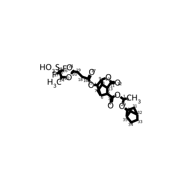 CC(OC(=O)C1C2CC3C(OC(=O)C31)C2OC(=O)CCC(=O)OC(C)C(F)(F)S(=O)(=O)O)OC1CC2CCC1C2